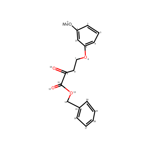 COc1cccc(OCCC(=O)C(=O)OCc2ccccc2)c1